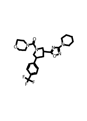 O=C(N1CCOCC1)N1CC(c2ccc(C(F)(F)F)cc2)CC(c2nc(N3CCCCC3)no2)C1